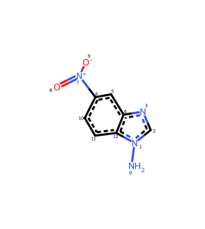 Nn1cnc2cc([N+](=O)[O-])ccc21